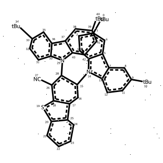 CC(C)(C)c1ccc2c(c1)c1cc(C(C)(C)C)ccc1n2-c1cc2c(sc3ccccc32)c(C#N)c1-n1c2ccc(C(C)(C)C)cc2c2cc(C(C)(C)C)ccc21